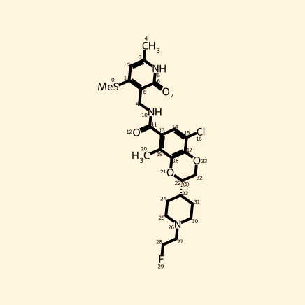 CSc1cc(C)[nH]c(=O)c1CNC(=O)c1cc(Cl)c2c(c1C)O[C@@H](C1CCN(CCF)CC1)CO2